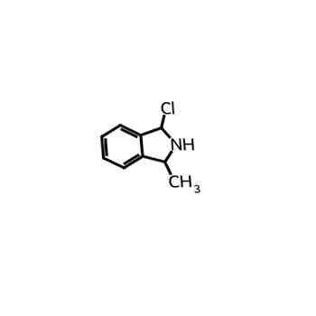 CC1NC(Cl)c2ccccc21